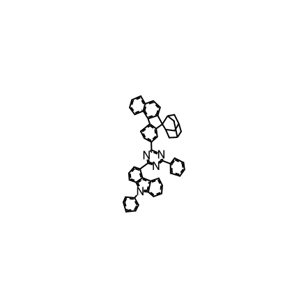 c1ccc(-c2nc(-c3ccc4c(c3)C3(c5ccc6ccccc6c5-4)C4CC5CC(C4)CC3C5)nc(-c3cccc4c3c3ccccc3n4-c3ccccc3)n2)cc1